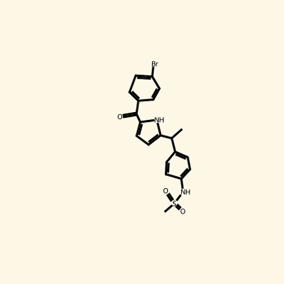 CC(c1ccc(NS(C)(=O)=O)cc1)c1ccc(C(=O)c2ccc(Br)cc2)[nH]1